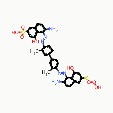 Cc1cc(-c2ccc(N=Nc3c(N)ccc4cc(S(=O)(=O)O)cc(O)c34)c(C)c2)ccc1N=Nc1c(N)ccc2cc(SOOO)cc(O)c12